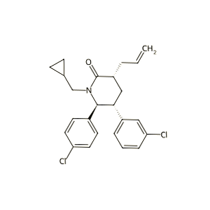 C=CC[C@@H]1C[C@H](c2cccc(Cl)c2)[C@@H](c2ccc(Cl)cc2)N(CC2CC2)C1=O